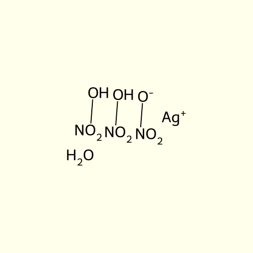 O.O=[N+]([O-])O.O=[N+]([O-])O.O=[N+]([O-])[O-].[Ag+]